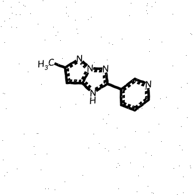 Cc1cc2[nH]c(-c3cccnc3)nn2n1